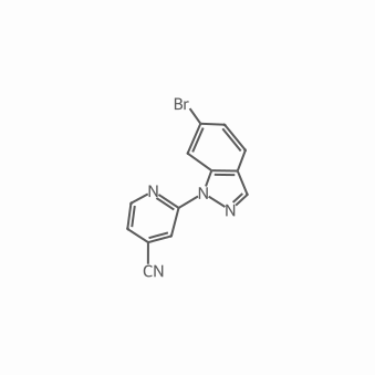 N#Cc1ccnc(-n2ncc3ccc(Br)cc32)c1